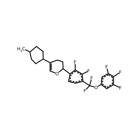 CC1CCC(C2=COC(c3ccc(C(F)(F)Oc4cc(F)c(F)c(F)c4)c(F)c3F)CC2)CC1